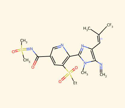 C=Nc1c(/C=C(\C)C(F)(F)F)nc(-c2ncc(C(=O)N=S(C)(C)=O)cc2S(=O)(=O)CC)n1C